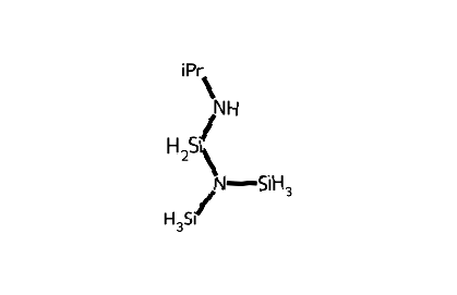 CC(C)N[SiH2]N([SiH3])[SiH3]